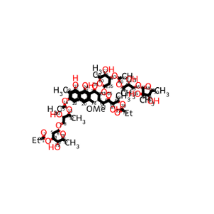 CCC(=O)OC1C[C@H](OC[C@H](O)C(C)OC(C)Oc2cc3cc4c(c(O)c3c(O)c2C)C(=O)[C@@H](O[C@H]2CC(OC(C)OC(C)[C@H](O)COC3OC(C)[C@@H](O)C3(C)O)[C@H](O)C(C)O2)[C@H]([C@H](OC)C(=O)[C@@H](O)[C@@H](C)OC(=O)CC)C4)OC(C)[C@H]1O